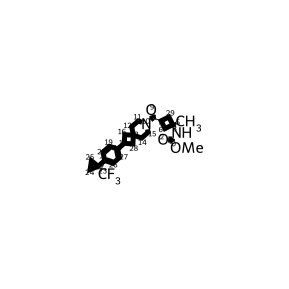 COC(=O)N[C@]1(C)C[C@H](C(=O)N2CCC3(CC2)CC(c2ccc(C4(C(F)(F)F)CC4)cc2)C3)C1